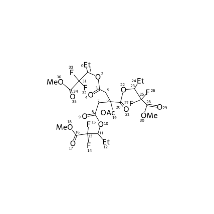 CCC(OC(=O)CC(CC(=O)OC(CC)C(F)(F)C(=O)OC)(OC(C)=O)C(=O)OC(CC)C(F)(F)C(=O)OC)C(F)(F)C(=O)OC